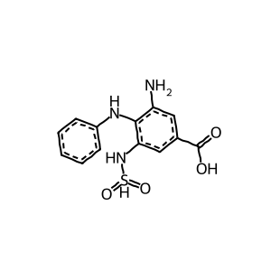 Nc1cc(C(=O)O)cc(N[SH](=O)=O)c1Nc1ccccc1